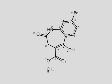 COC(=O)C1=C(O)c2ccc(Br)cc2NC(=O)C1